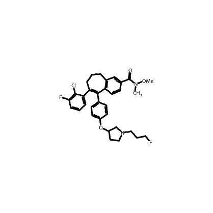 CON(C)C(=O)c1ccc2c(c1)CCCC(c1cccc(F)c1Cl)=C2c1ccc(OC2CCN(CCCF)C2)cc1